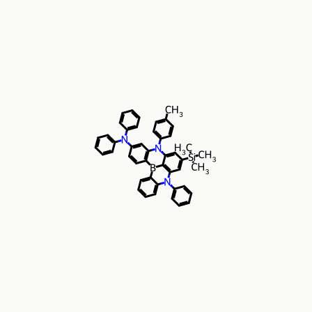 Cc1ccc(N2c3cc(N(c4ccccc4)c4ccccc4)ccc3B3c4ccccc4N(c4ccccc4)c4cc([Si](C)(C)C)cc2c43)cc1